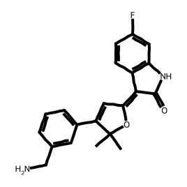 CC1(C)OC(=C2C(=O)Nc3cc(F)ccc32)C=C1c1cccc(CN)c1